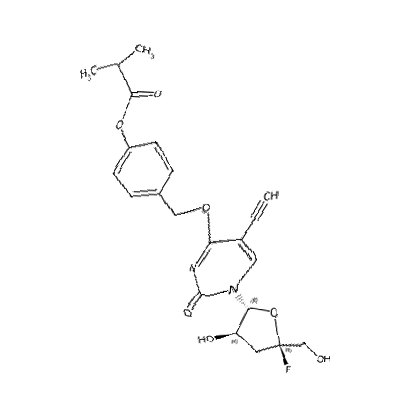 C#Cc1cn([C@@H]2O[C@](F)(CO)C[C@H]2O)c(=O)nc1OCc1ccc(OC(=O)C(C)C)cc1